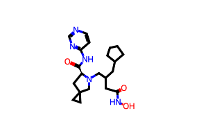 O=C(CC(CC1CCCC1)CN1CC2(CC2)C[C@H]1C(=O)Nc1ccncn1)NO